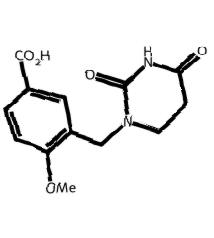 COc1ccc(C(=O)O)cc1CN1CCC(=O)NC1=O